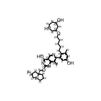 Cc1cc(O)cc(-c2ncc3c(O)nc(OC[C@@]45CCCN4C[C@H](F)C5)nc3c2F)c1CCCCCO[C@H]1CNCC[C@H](O)C1